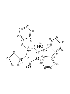 O=COC(C[C@@H](Cc1ccccn1)CN1CCCC1)C1(O)c2ccccc2-c2ccccc21